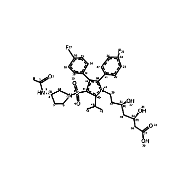 CC(=O)N[C@H]1CCN(S(=O)(=O)c2c(-c3ccc(F)cc3)c(-c3ccc(F)cc3)n(CC[C@@H](O)C[C@@H](O)CC(=O)O)c2C(C)C)C1